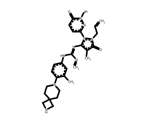 C=CCn1c(=O)c(C)c(/N=C(\N=C)Nc2ccc(N3CCC4(CC3)CNC4)c(C)c2)n1-c1ccc(=O)n(C(C)C)n1